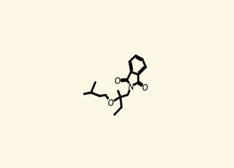 CCC(C)(CN1C(=O)c2ccccc2C1=O)OCCC(C)C